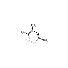 CC(C)=C(C)/C=C(\C)N